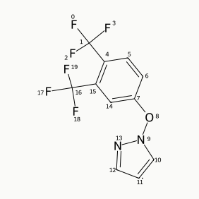 FC(F)(F)c1ccc(On2c[c]cn2)cc1C(F)(F)F